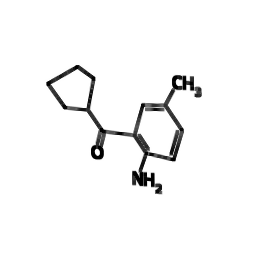 Cc1ccc(N)c(C(=O)C2CCCC2)c1